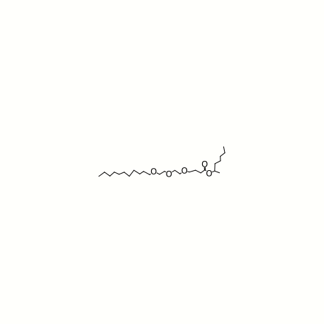 CCCCCCCCCCCOCCOCCOCCCC(=O)OC(C)CCCCC